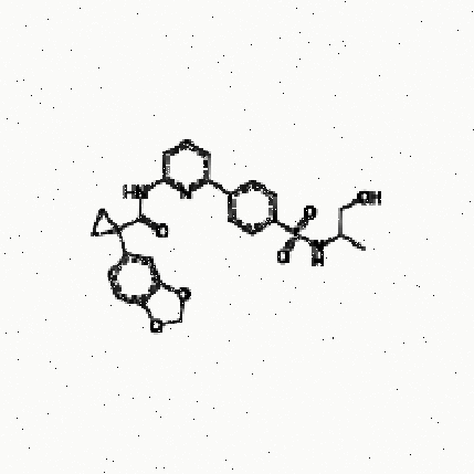 CC(CO)NS(=O)(=O)c1ccc(-c2cccc(NC(=O)C3(c4ccc5c(c4)OCO5)CC3)n2)cc1